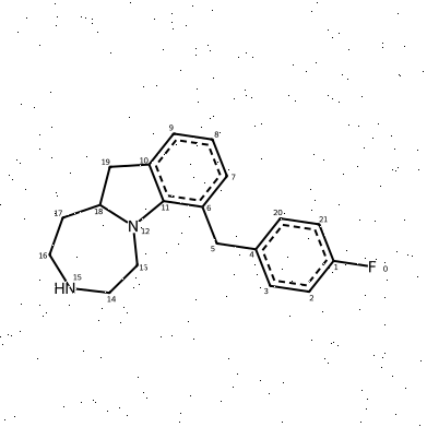 Fc1ccc(Cc2cccc3c2N2CCNCCC2C3)cc1